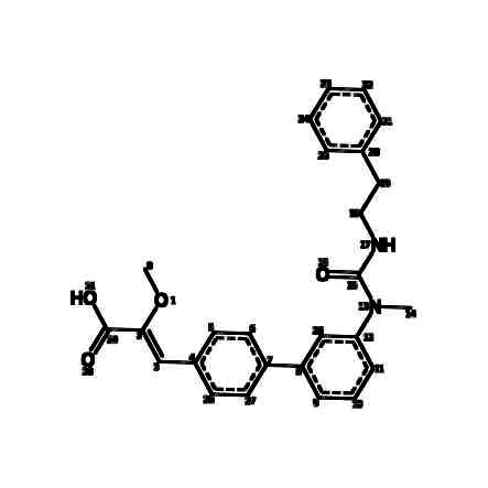 COC(=Cc1ccc(-c2cccc(N(C)C(=O)NCCc3ccccc3)c2)cc1)C(=O)O